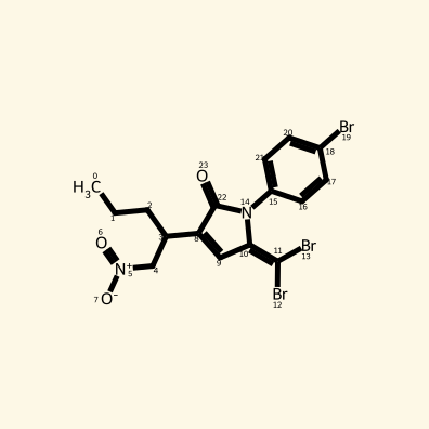 CCCC(C[N+](=O)[O-])C1=CC(=C(Br)Br)N(c2ccc(Br)cc2)C1=O